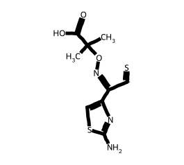 CC(C)(ON=C([C]=S)c1csc(N)n1)C(=O)O